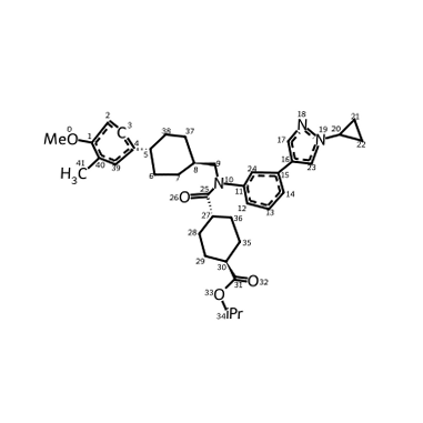 COc1ccc([C@H]2CC[C@H](CN(c3cccc(-c4cnn(C5CC5)c4)c3)C(=O)[C@H]3CC[C@H](C(=O)OC(C)C)CC3)CC2)cc1C